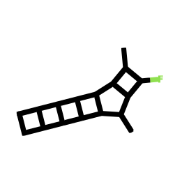 CC1C(F)C2C(C)C3C(C12)C1C2C4CCC4C2C31